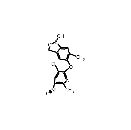 [C-]#[N+]c1cc(Cl)c(Oc2cc3c(cc2C)B(O)OC3)nc1C